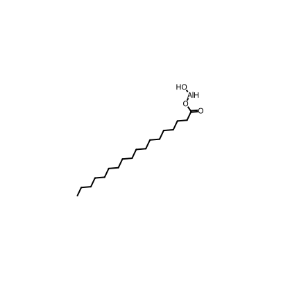 CCCCCCCCCCCCCCCCCC(=O)[O][AlH][OH]